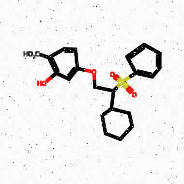 O=C(O)c1ccc(OCC(C2CCCCC2)S(=O)(=O)c2ccccc2)cc1O